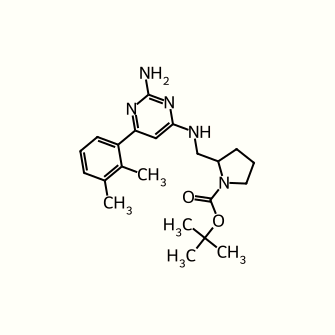 Cc1cccc(-c2cc(NCC3CCCN3C(=O)OC(C)(C)C)nc(N)n2)c1C